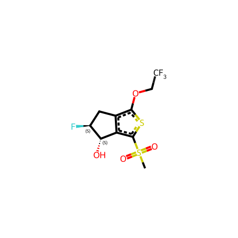 CS(=O)(=O)c1sc(OCC(F)(F)F)c2c1[C@H](O)[C@@H](F)C2